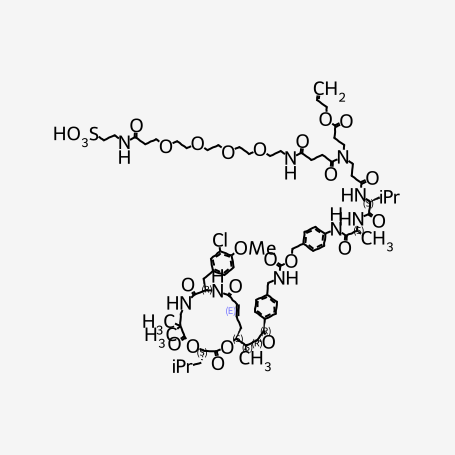 C=CCOC(=O)CCN(CCC(=O)N[C@H](C(=O)N[C@@H](C)C(=O)Nc1ccc(COC(=O)NCc2ccc([C@H]3O[C@@H]3[C@@H](C)[C@@H]3C/C=C/C(=O)N[C@H](Cc4ccc(OC)c(Cl)c4)C(=O)NCC(C)(C)C(=O)O[C@@H](CC(C)C)C(=O)O3)cc2)cc1)C(C)C)C(=O)CCC(=O)NCCOCCOCCOCCOCCC(=O)NCCS(=O)(=O)O